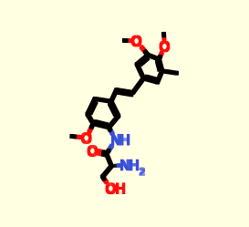 COc1ccc(C=Cc2cc(C)c(OC)c(OC)c2)cc1NC(=O)[C@@H](N)CO